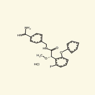 CO[C@H](C(=O)NCc1ccc(C(=N)N)cc1)c1c(F)cccc1Oc1ccccc1.Cl